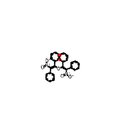 O=[N+]([O-])C(=C(OC(=C(c1ccccc1)[N+](=O)[O-])c1ccccc1)c1ccccc1)c1ccccc1